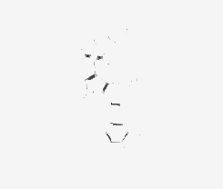 COc1c(S(=O)(=O)NC2CCNC2)cn(C)c1C(=O)Nc1ccc(F)c(C(F)F)c1